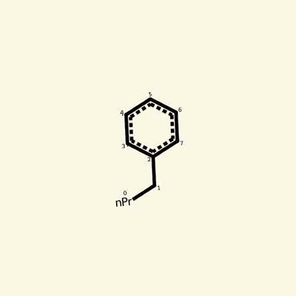 CCCCc1[c][c]ccc1